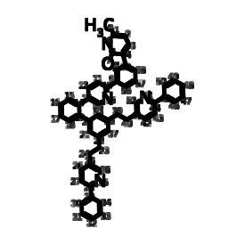 Cc1ccc2c(n1)oc1c(-c3ccc(-c4ccccc4-c4cc(CCc5ccc(-c6ccccc6)nc5)cc(CCc5ccc(-c6ccccc6)nc5)c4)cn3)cccc12